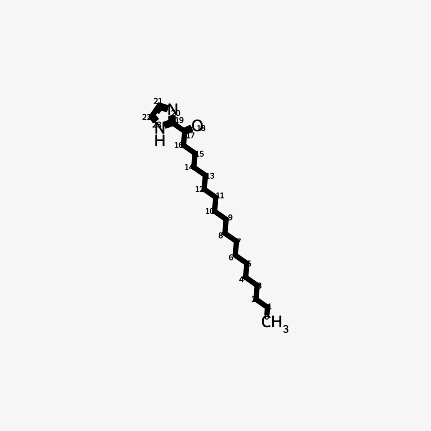 CCCCCCCCCCCCCCCCCC(=O)c1ncc[nH]1